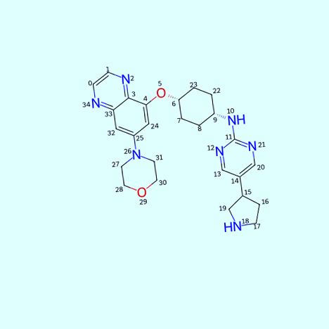 c1cnc2c(O[C@H]3CC[C@@H](Nc4ncc(C5CCNC5)cn4)CC3)cc(N3CCOCC3)cc2n1